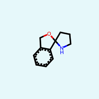 c1ccc2c(c1)COC21CCCN1